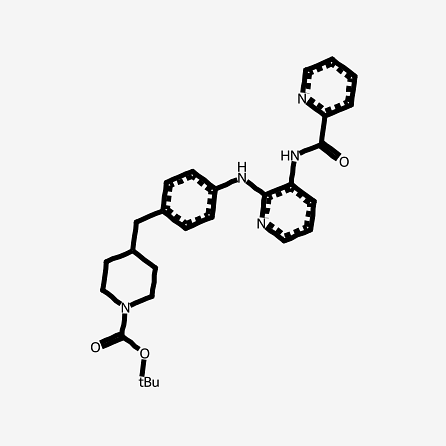 CC(C)(C)OC(=O)N1CCC(Cc2ccc(Nc3ncccc3NC(=O)c3ccccn3)cc2)CC1